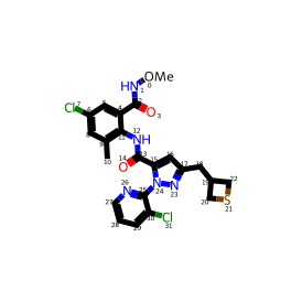 CONC(=O)c1cc(Cl)cc(C)c1NC(=O)c1cc(CC2CSC2)nn1-c1ncccc1Cl